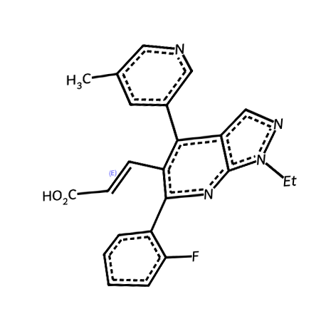 CCn1ncc2c(-c3cncc(C)c3)c(/C=C/C(=O)O)c(-c3ccccc3F)nc21